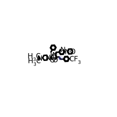 CN(C)C1CCN(C(=O)[C@H](Cc2ccccc2)N(Cc2ccc(N3CCOCC3)nc2)C(=O)/C=C/c2ccc(C(F)(F)F)cc2)CC1